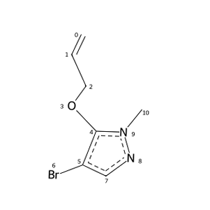 C=CCOc1c(Br)cnn1C